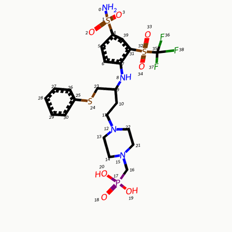 NS(=O)(=O)c1ccc(NC(CCN2CCN(CP(=O)(O)O)CC2)CSc2ccccc2)c(S(=O)(=O)C(F)(F)F)c1